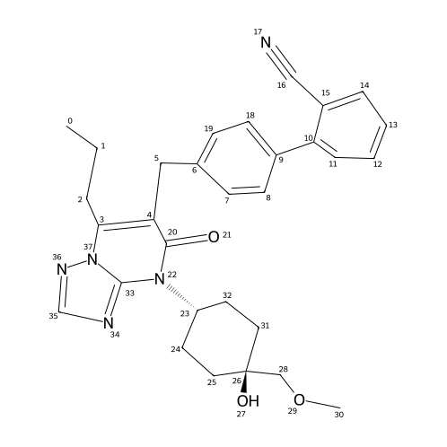 CCCc1c(Cc2ccc(-c3ccccc3C#N)cc2)c(=O)n([C@H]2CC[C@@](O)(COC)CC2)c2ncnn12